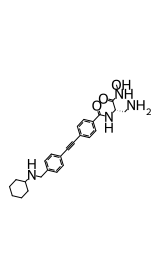 NC[C@H](NC(=O)c1ccc(C#Cc2ccc(CNC3CCCCC3)cc2)cc1)C(=O)NO